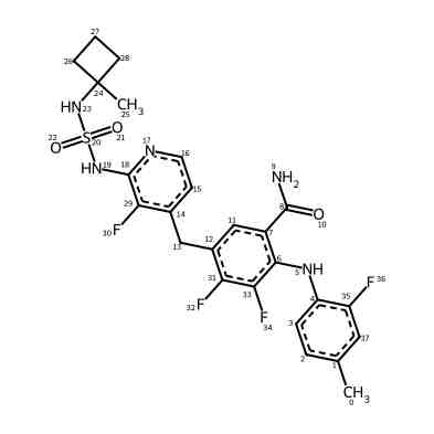 Cc1ccc(Nc2c(C(N)=O)cc(Cc3ccnc(NS(=O)(=O)NC4(C)CCC4)c3F)c(F)c2F)c(F)c1